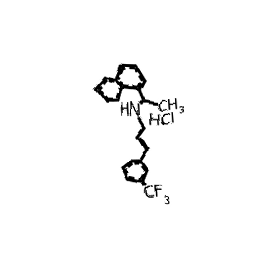 CC(NC/C=C/c1cccc(C(F)(F)F)c1)c1cccc2ccccc12.Cl